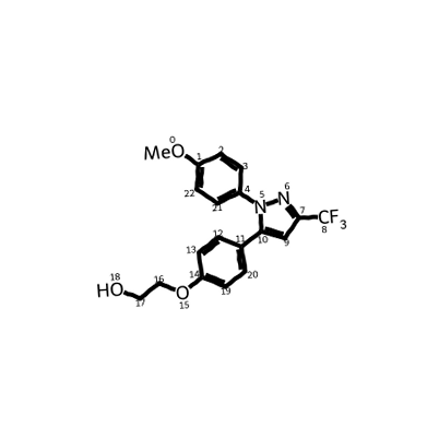 COc1ccc(-n2nc(C(F)(F)F)cc2-c2ccc(OCCO)cc2)cc1